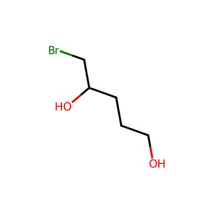 OCCCC(O)CBr